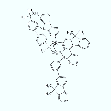 CC(C)(C)c1ccc2c(c1)C1(c3ccccc3-c3ccc(-c4ccc(N(c5cccc(-c6ccc7c(c6)C(C)(C)c6ccccc6-7)c5)c5ccccc5-c5cccc6c5-c5ccccc5C6(C)C)cc4)cc31)c1cc(C(C)(C)C)ccc1-2